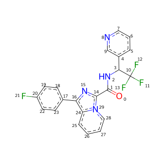 O=C(NC(c1cccnc1)C(F)(F)F)c1nc(-c2ccc(F)cc2)c2ccccn12